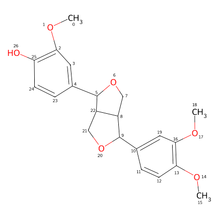 COc1cc(C2OCC3C(c4ccc(OC)c(OC)c4)OCC23)ccc1O